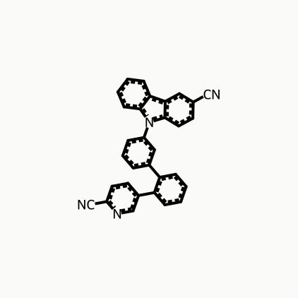 N#Cc1ccc2c(c1)c1ccccc1n2-c1cccc(-c2ccccc2-c2ccc(C#N)nc2)c1